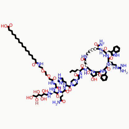 CCCC[C@H](NC(=O)CN1CCN(C(=O)[C@H](Cc2c[nH]cn2)NC(=O)[C@H](CCC(N)=O)NC(=O)[C@H](CNC[C@H](O)[C@@H](O)[C@H](O)[C@H](O)CO)NC(=O)CNC(=O)COCCOCCNC(=O)CCCCCCCCCCCCCCCCC(=O)O)CC1)C(=O)N[C@H]1CCC(=O)NCCCC[C@@H](C(N)=O)NC(=O)[C@H](Cc2c[nH]c3ccccc23)NC(=O)[C@H](CCCNC(=N)N)NC(=O)[C@@H](Cc2ccccc2)NC(=O)[C@@H]2C[C@@H](O)CN2C1=O